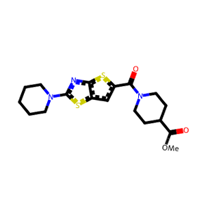 COC(=O)C1CCN(C(=O)c2cc3sc(N4CCCCC4)nc3s2)CC1